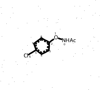 CC(=O)NOc1ccc(Cl)cc1